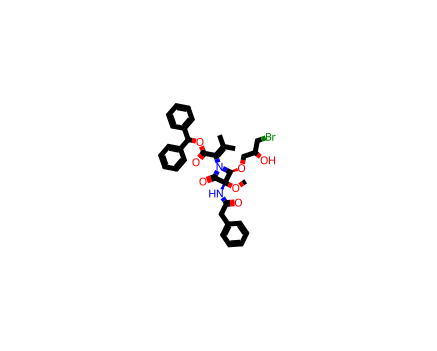 CO[C@]1(NC(=O)Cc2ccccc2)C(=O)N(C(C(=O)OC(c2ccccc2)c2ccccc2)=C(C)C)[C@H]1OCC(O)CBr